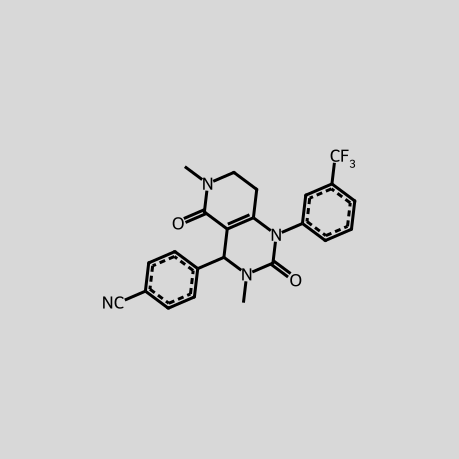 CN1CCC2=C(C1=O)C(c1ccc(C#N)cc1)N(C)C(=O)N2c1cccc(C(F)(F)F)c1